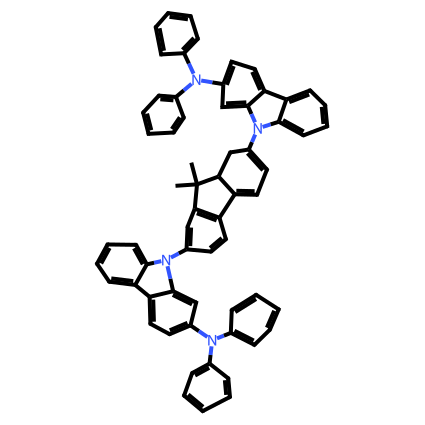 CC1(C)c2cc(-n3c4ccccc4c4ccc(N(c5ccccc5)c5ccccc5)cc43)ccc2C2=CC=C(n3c4ccccc4c4ccc(N(c5ccccc5)c5ccccc5)cc43)CC21